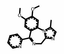 COc1cc2c(cc1OC)-n1c(C)cnc1CN=C2c1ccccn1